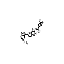 CN1CCn2ncc(-c3ccc4cnc(NC(=O)C5CC(F)(F)C5)cc4n3)c2C1